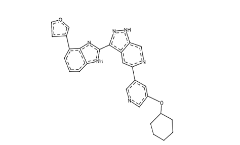 c1cc(-c2ccoc2)c2nc(-c3n[nH]c4cnc(-c5cncc(OC6CCCCC6)c5)cc34)[nH]c2c1